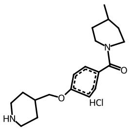 CC1CCN(C(=O)c2ccc(OCC3CCNCC3)cc2)CC1.Cl